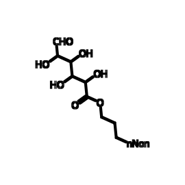 CCCCCCCCCCCCOC(=O)C(O)C(O)C(O)C(O)C=O